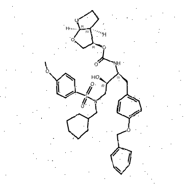 COc1ccc(S(=O)(=O)N(CC2CCCCC2)C[C@@H](O)[C@H](Cc2ccc(OCc3ccccc3)cc2)NC(=O)O[C@H]2CO[C@H]3OCC[C@H]32)cc1